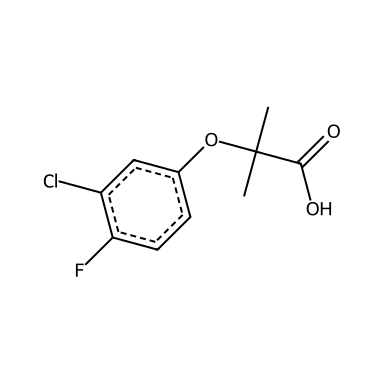 CC(C)(Oc1ccc(F)c(Cl)c1)C(=O)O